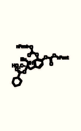 CCCCCOC(=O)Oc1ccc(C[C@](NC(C)CC)(OC(=O)C2CCCCC2)C(=O)O)cc1OC(=O)OCCCCC